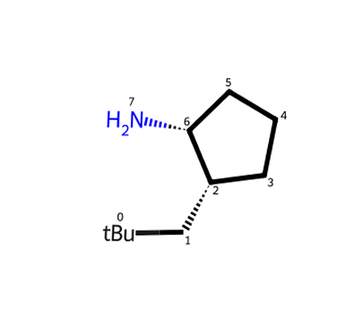 CC(C)(C)C[C@H]1CCC[C@H]1N